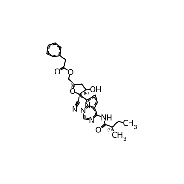 CC[C@@H](C)C(=O)Nc1ncnn2c([C@]3(C#N)O[C@@H](COC(=O)Cc4ccccc4)C[C@H]3O)ccc12